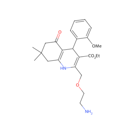 CCOC(=O)C1=C(COCCN)NC2=C(C(=O)CC(C)(C)C2)C1c1ccccc1OC